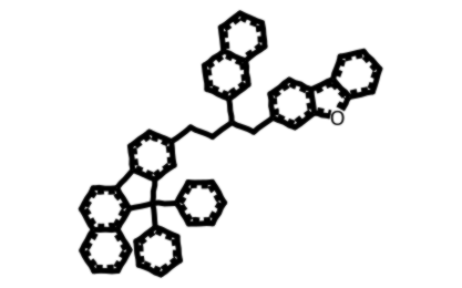 c1ccc(C2(c3ccccc3)c3cc(CCC(Cc4ccc5c(c4)oc4ccccc45)c4ccc5ccccc5c4)ccc3-c3ccc4ccccc4c32)cc1